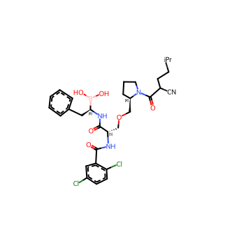 CC(C)CCC(C#N)C(=O)N1CCC[C@@H]1COC[C@H](NC(=O)c1cc(Cl)ccc1Cl)C(=O)N[C@@H](Cc1ccccc1)B(O)O